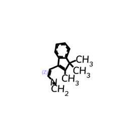 C=N/C=C\C1=C(C)C(C)(C)c2ccccc21